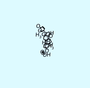 C[C@]12CC[C@H](O[Si](=O)O)C[C@H]1CC[C@@H]1[C@@H]2CC[C@]2(C)[C@@H](c3ccc(=O)oc3)C[C@H]3O[C@]132